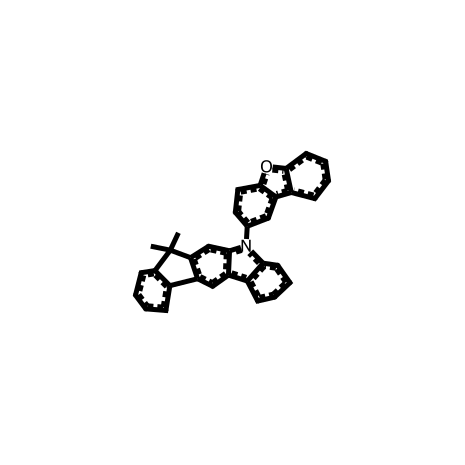 CC1(C)c2ccccc2-c2cc3c4ccccc4n(-c4ccc5oc6ccccc6c5c4)c3cc21